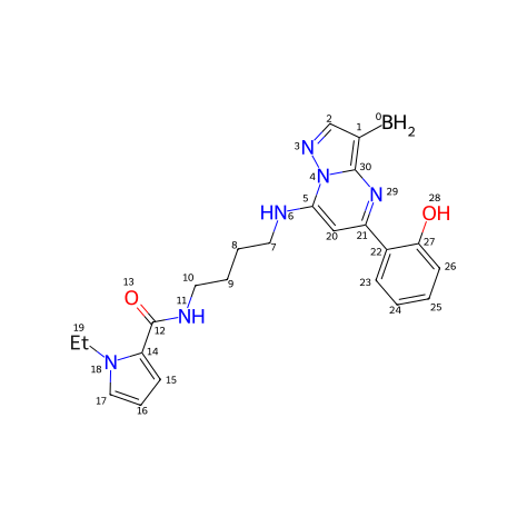 Bc1cnn2c(NCCCCNC(=O)c3cccn3CC)cc(-c3ccccc3O)nc12